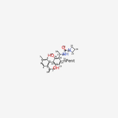 C=C(C)c1ccc(C)cc1-c1c(O)cc(CCCCC)c(C(C)NC(=O)N2CCC2)c1O